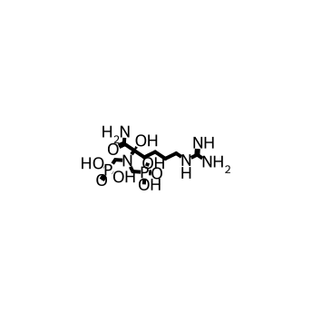 N=C(N)NCCCC[C@@](O)(C(N)=O)N(CP(=O)(O)O)CP(=O)(O)O